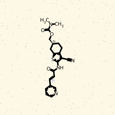 CN(C)C(=O)OC[C@H]1CCc2c(sc(NC(=O)/C=C/c3cccnc3)c2C#N)C1